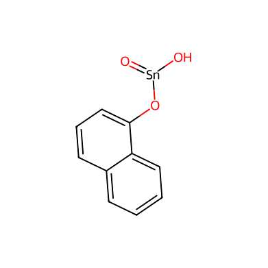 [O]=[Sn]([OH])[O]c1cccc2ccccc12